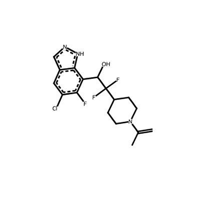 C=C(C)N1CCC(C(F)(F)C(O)c2c(F)c(Cl)cc3cn[nH]c23)CC1